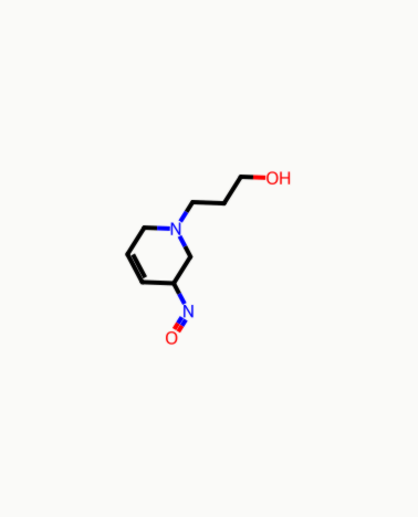 O=NC1C=CCN(CCCO)C1